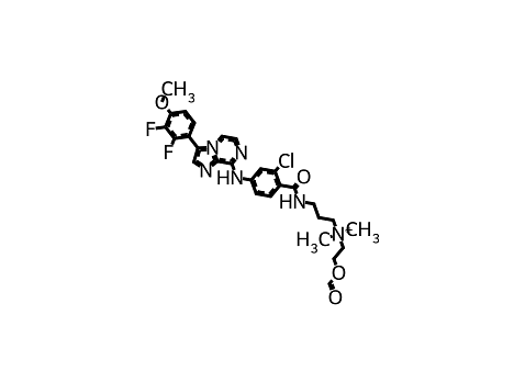 COc1ccc(-c2cnc3c(Nc4ccc(C(=O)NCCC[N+](C)(C)CCOC=O)c(Cl)c4)nccn23)c(F)c1F